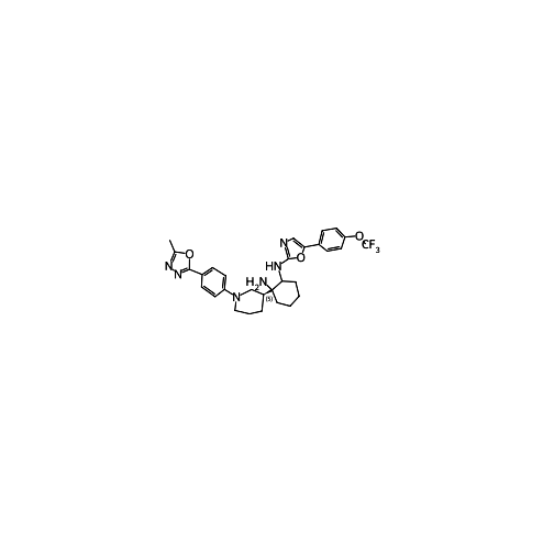 Cc1nnc(-c2ccc(N3CCC[C@H](C4(N)CCCCC4Nc4ncc(-c5ccc(OC(F)(F)F)cc5)o4)C3)cc2)o1